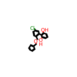 Oc1cccc(O)c1-c1cc(Cl)ccc1COCc1ccccc1